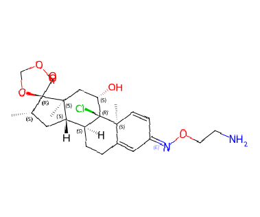 C[C@H]1C[C@H]2[C@@H]3CCC4=C/C(=N/OCCN)C=C[C@]4(C)[C@@]3(Cl)[C@@H](O)C[C@]2(C)[C@]12OCOC21COCO1